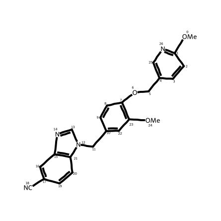 COc1ccc(COc2ccc(Cn3cnc4cc(C#N)ccc43)cc2OC)cn1